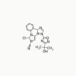 CC(C)(O)c1noc(N2C=NC3c4ccccc4N4C(=CN(C#N)C4Cl)N32)n1